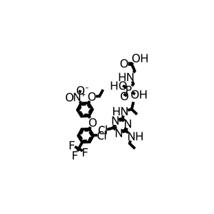 CCNc1nc(Cl)nc(NC(C)C)n1.CCOc1cc(Oc2ccc(C(F)(F)F)cc2Cl)ccc1[N+](=O)[O-].O=C(O)CNCP(=O)(O)O